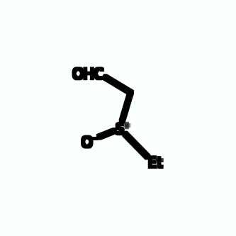 CC[S+]([O-])CC=O